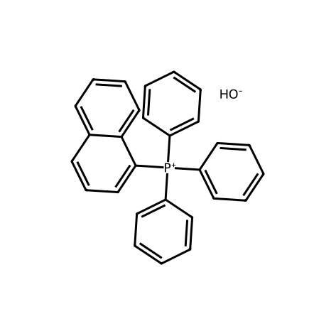 [OH-].c1ccc([P+](c2ccccc2)(c2ccccc2)c2cccc3ccccc23)cc1